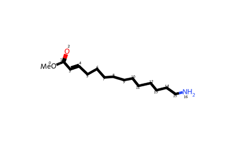 COC(=O)C=CCCCCCCCCCCCN